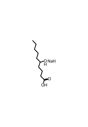 CCCCCC(O)CCCC(=O)O.[NaH]